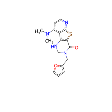 CN(C)c1ccnc2sc3c(c12)NCN(Cc1ccco1)C3=O